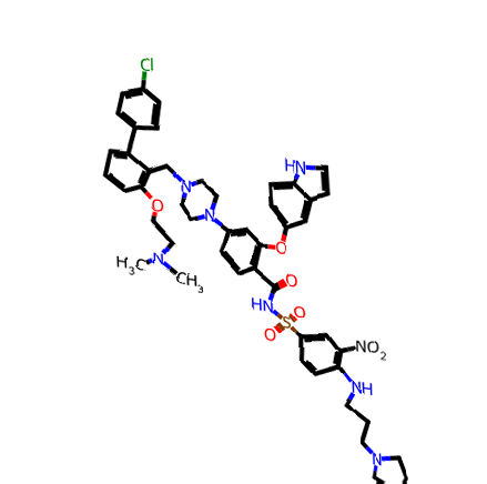 CN(C)CCOc1cccc(-c2ccc(Cl)cc2)c1CN1CCN(c2ccc(C(=O)NS(=O)(=O)c3ccc(NCCCN4CCCC4)c([N+](=O)[O-])c3)c(Oc3ccc4[nH]ccc4c3)c2)CC1